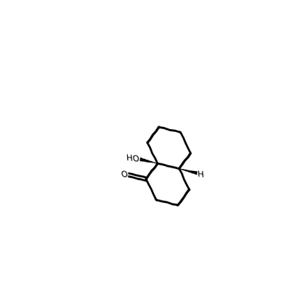 O=C1CCC[C@H]2CCCC[C@@]12O